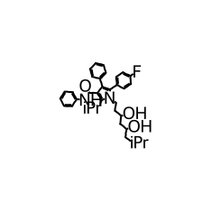 CC(C)CC(O)CC(O)CCn1c(-c2ccc(F)cc2)c(-c2ccccc2)c(C(=O)Nc2ccccc2)c1C(C)C